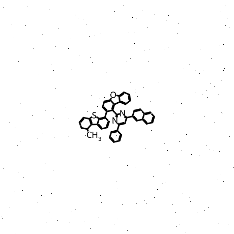 CC1CC=Cc2sc3c(-c4ccc5oc6ccccc6c5c4-c4nc(-c5ccccc5)cc(-c5ccc6ccccc6c5)n4)cccc3c21